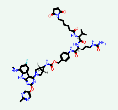 CNc1cc(F)cc2c1[nH]c1nc(Oc3cnc(C)nc3)nc(N3C[C@@H]4C(NC(=O)OCc5ccc(NC(=O)[C@H](CCCNC(N)=O)NC(=O)[C@@H](NC(=O)CCCCCN6C(=O)C=CC6=O)C(C)C)cc5)[C@@H]4C3)c12